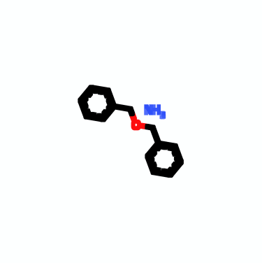 N.c1ccc(COCc2ccccc2)cc1